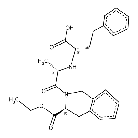 CCOC(=O)[C@@H]1Cc2ccccc2CN1C(=O)[C@H](C)N[C@@H](CCc1ccccc1)C(=O)O